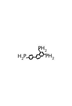 PCc1ccc(-c2ccc3cc(CP)cc(CP)c3c2)cc1